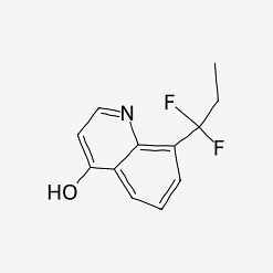 CCC(F)(F)c1cccc2c(O)ccnc12